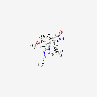 CCCC/N=C(/c1ccc(OC)c(OC)c1)N1CCC(C)(C)c2cc(C3=NNC(=O)SC3CC)ccc21